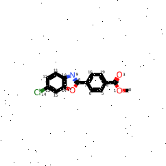 COC(=O)c1ccc(-c2nc3ccc(Cl)cc3o2)cc1